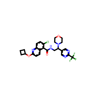 O=C(NCC(c1cnc(C(F)(F)F)nc1)N1CCOCC1)c1c(Cl)ccc2nc(OC3CCC3)ccc12